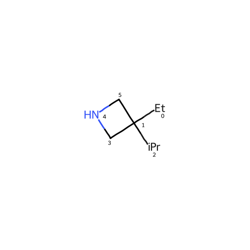 CCC1(C(C)C)CNC1